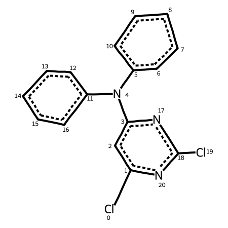 Clc1cc(N(c2ccccc2)c2ccccc2)nc(Cl)n1